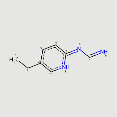 CCc1cc/c(=N/C=N)[nH]c1